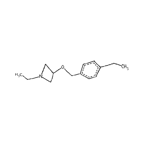 CCc1ccc(COC2CN(CC)C2)cc1